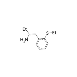 CCSc1ccccc1C=C(N)CC